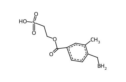 BCc1ccc(C(=O)OCCS(=O)(=O)O)cc1C